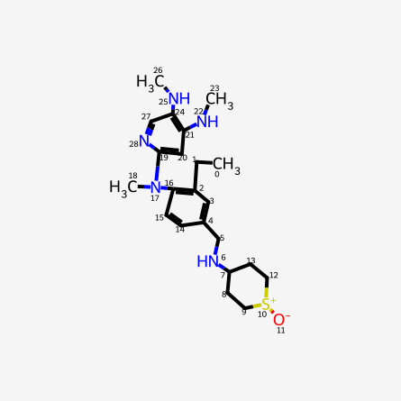 CCc1cc(CNC2CC[S+]([O-])CC2)ccc1N(C)c1cc(NC)c(NC)cn1